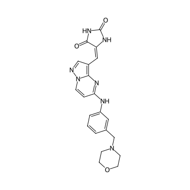 O=C1NC(=O)/C(=C\c2cnn3ccc(Nc4cccc(CN5CCOCC5)c4)nc23)N1